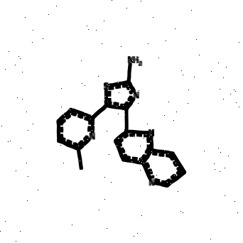 Cc1cccc(-c2sc(N)nc2-c2ccc3ncccc3n2)n1